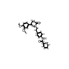 COc1ccc(C2=NN(CCc3ccc(NC(=O)c4ccccn4)cc3)C(=O)SC2)cc1OC